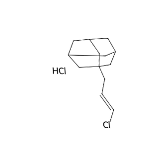 Cl.ClC=CCC12CC3CC(CC(C3)C1)C2